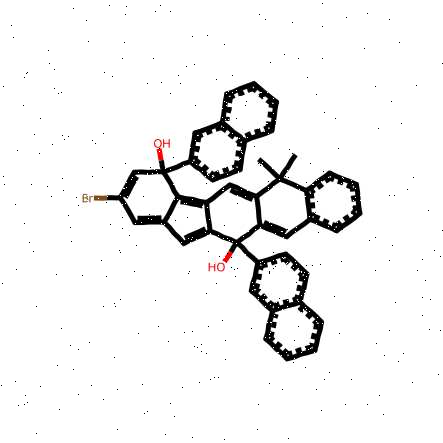 CC1(C)C2=CC3=C4C(=CC(Br)=CC4(O)c4ccc5ccccc5c4)C=C3C(O)(c3ccc4ccccc4c3)C2=Cc2ccccc21